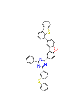 c1ccc(-c2nc(-c3ccc4c(c3)sc3ccccc34)nc(-c3ccc4oc5ccc(-c6cccc7c6sc6ccccc67)cc5c4c3)n2)cc1